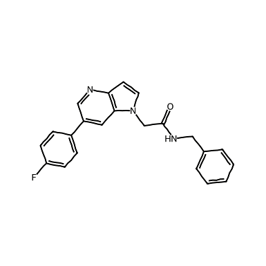 O=C(Cn1ccc2ncc(-c3ccc(F)cc3)cc21)NCc1ccccc1